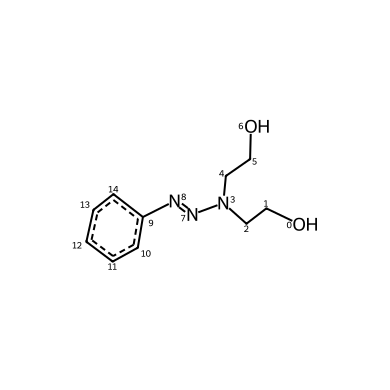 OCCN(CCO)N=Nc1ccccc1